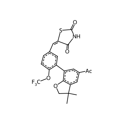 CC(=O)c1cc(-c2cc(C=C3SC(=O)NC3=O)ccc2OC(F)(F)F)c2c(c1)C(C)(C)CO2